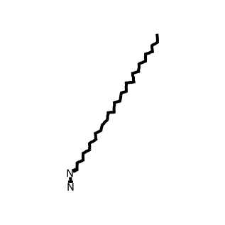 CCCCCCCCCCCCCCCCCCCCCCCCCCCC=NC#N